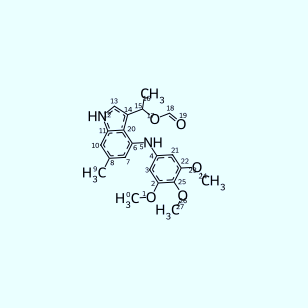 COc1cc(Nc2cc(C)cc3[nH]cc(C(C)OC=O)c23)cc(OC)c1OC